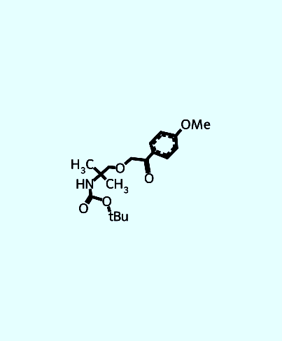 COc1ccc(C(=O)COCC(C)(C)NC(=O)OC(C)(C)C)cc1